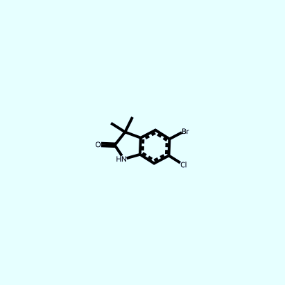 CC1(C)C(=O)Nc2cc(Cl)c(Br)cc21